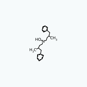 CC(CCN(O)CCC(C)Cc1ccccc1)Cc1ccccc1